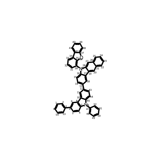 c1ccc(-c2ccc3c(c2)c2cc(-c4ccc5c(c4)c4cc6ccccc6cc4n5-c4cccc5c4oc4ccccc45)ccc2n3-c2ccccc2)cc1